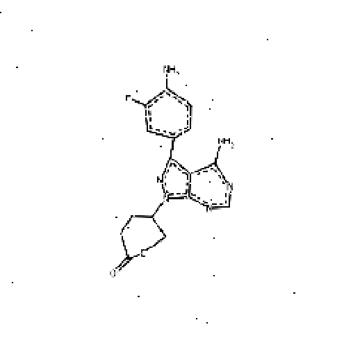 Nc1ccc(-c2nn(C3CCC(=O)CC3)c3ncnc(N)c23)cc1F